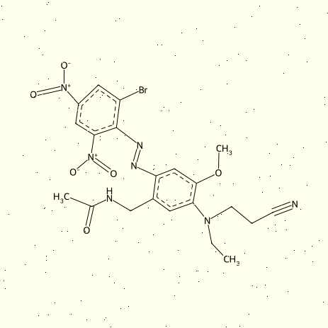 CCN(CCC#N)c1cc(CNC(C)=O)c(N=Nc2c(Br)cc([N+](=O)[O-])cc2[N+](=O)[O-])cc1OC